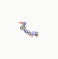 O=C(NCC12CC3CC(CC(C3)C1)C2)c1ccc(N2CCN(Cc3ccc(-c4cncc(O)c4)c4ccccc34)CC2)cc1